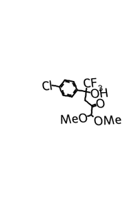 COC(OC)C(=O)CC(O)(c1ccc(Cl)cc1)C(F)(F)F